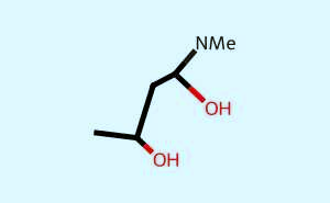 CNC(O)CC(C)O